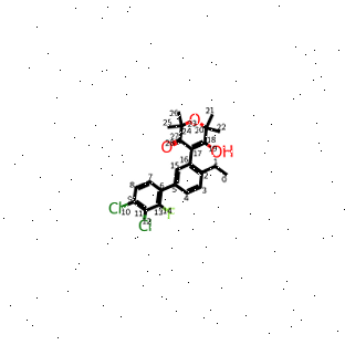 CCc1ccc(-c2ccc(Cl)c(Cl)c2F)cc1C1=C(O)C(C)(C)OC(C)(C)C1=O